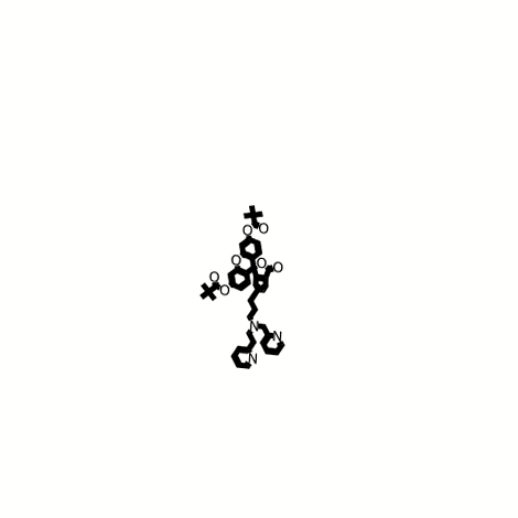 CC(C)(C)C(=O)Oc1ccc2c(c1)Oc1cc(OC(=O)C(C)(C)C)ccc1C21OC(=O)c2ccc(CCCN(CCc3ccccn3)Cc3ccccn3)cc21